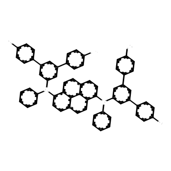 [C-]#[N+]c1ccc(-c2cc(-c3ccc(C#N)cc3)cc(N(c3ccccc3)c3ccc4ccc5c(N(c6ccccc6)c6cc(-c7ccc(C#N)cc7)cc(-c7ccc([N+]#[C-])cc7)c6)ccc6ccc3c4c65)c2)cc1